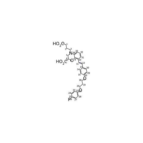 O=C(O)CCCN1CC(C(=O)O)Oc2c(/C=C/c3ccc(OCCCOc4ccc(F)cc4)cc3)cccc21